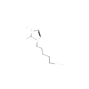 CCCCCCCCCCCCCCN1C=CN(CCC)C1C